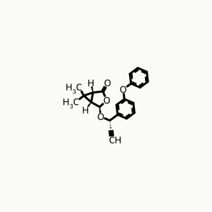 C#C[C@H](O[C@@H]1OC(=O)[C@@H]2[C@H]1C2(C)C)c1cccc(Oc2ccccc2)c1